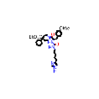 CCOC(=O)C1(C2CCCCC2)CCN(C(=O)C(Cc2ccc(OC)cc2)NC(=O)NCCCCCc2c[nH]cn2)CC1